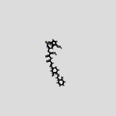 C=C(CC(=C/C)/C=c1\c(=C)ccn1C)C(=O)CC(=O)/C=C/C1=CC(F)=C(OCC2C=CC=CN2)CC1